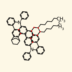 CCCCCCCCc1c(CCCCCCCC)c2cc(N(c3ccccc3)c3ccccc3-c3ccc4c(c3)C3CCC4CC3)ccc2c2ccc(N(c3ccccc3)c3ccccc3-c3ccc4c(c3)C3CCC4CC3)cc12